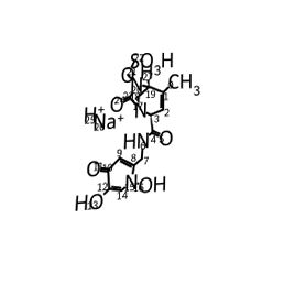 CC1=C[C@@H](C(=O)NCc2cc(=O)c(O)cn2O)N2C[C@@H]1N(OS(=O)(=O)O)C2=O.[H+].[Na+]